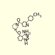 Cc1ccc(-c2cc(C(=O)N3CCC[C@H](COc4cccc5c4C(N)=NSN5)C3)ccn2)cc1